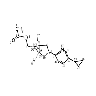 CS(=O)OC[C@@H]1[C@H]2CN(c3ncc(C4CC4)cn3)C[C@@H]12